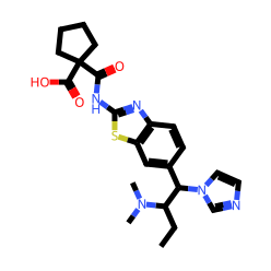 CCC(C(c1ccc2nc(NC(=O)C3(C(=O)O)CCCC3)sc2c1)n1ccnc1)N(C)C